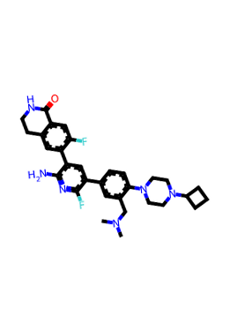 CN(C)Cc1cc(-c2cc(-c3cc4c(cc3F)C(=O)NCC4)c(N)nc2F)ccc1N1CCN(C2CCC2)CC1